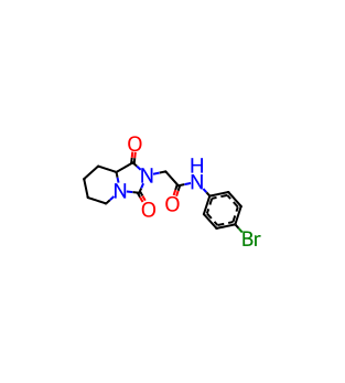 O=C(CN1C(=O)C2CCCCN2C1=O)Nc1ccc(Br)cc1